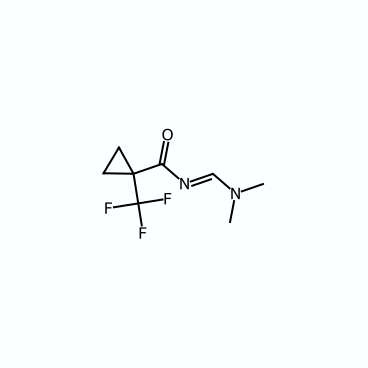 CN(C)C=NC(=O)C1(C(F)(F)F)CC1